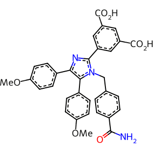 COc1ccc(-c2nc(-c3cc(C(=O)O)cc(C(=O)O)c3)n(Cc3ccc(C(N)=O)cc3)c2-c2ccc(OC)cc2)cc1